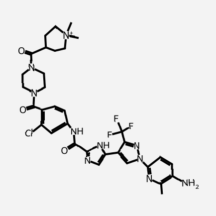 Cc1nc(-n2cc(-c3cnc(C(=O)Nc4ccc(C(=O)N5CCN(C(=O)C6CC[N+](C)(C)CC6)CC5)c(Cl)c4)[nH]3)c(C(F)(F)F)n2)ccc1N